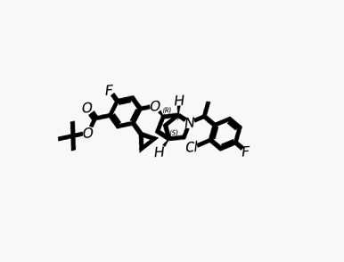 CC(c1ccc(F)cc1Cl)N1C[C@H]2C[C@@H]1[C@H](Oc1cc(F)c(C(=O)OC(C)(C)C)cc1C1CC1)C2